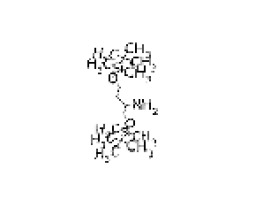 CC(C)(C)[Si](C)(C)OCCC(N)CO[Si](C)(C)C(C)(C)C